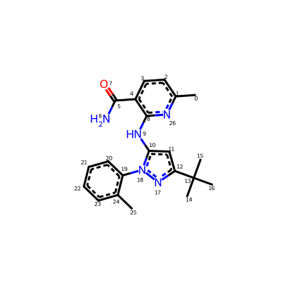 Cc1ccc(C(N)=O)c(Nc2cc(C(C)(C)C)nn2-c2ccccc2C)n1